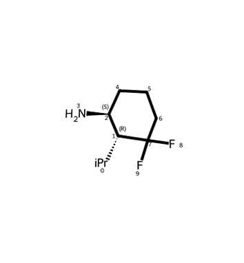 CC(C)[C@@H]1[C@@H](N)CCCC1(F)F